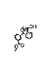 CCOC(=O)c1cccc(C(O)[C@@H]2CCCCN2C(=O)O)c1